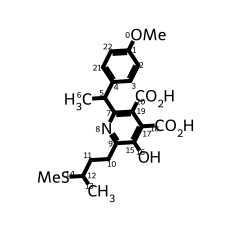 COc1ccc(C(C)c2nc(CCC(C)SC)c(O)c(C(=O)O)c2C(=O)O)cc1